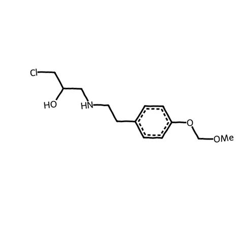 COCOc1ccc(CCNCC(O)CCl)cc1